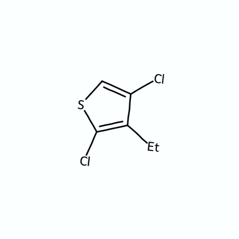 CCc1c(Cl)csc1Cl